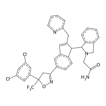 NC(=O)CN1Cc2ccccc2C1C1C(Cc2ccccn2)=Cc2cc(C3=NOC(c4cc(Cl)cc(Cl)c4)(C(F)(F)F)C3)ccc21